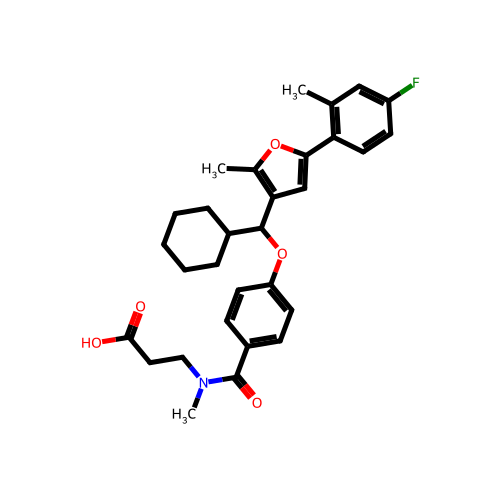 Cc1cc(F)ccc1-c1cc(C(Oc2ccc(C(=O)N(C)CCC(=O)O)cc2)C2CCCCC2)c(C)o1